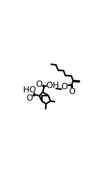 C=C(CCCCCC)C(=O)OCC.CC1C(C)C2CC1C(C(=O)O)C2C(=O)O